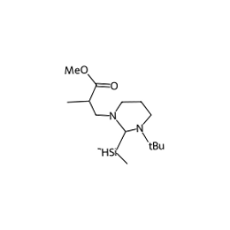 COC(=O)C(C)CN1CCCN(C(C)(C)C)C1[SiH](C)C